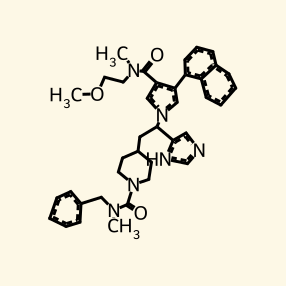 COCCN(C)C(=O)c1cn(C(CC2CCN(C(=O)N(C)Cc3ccccc3)CC2)c2cnc[nH]2)cc1-c1cccc2ccccc12